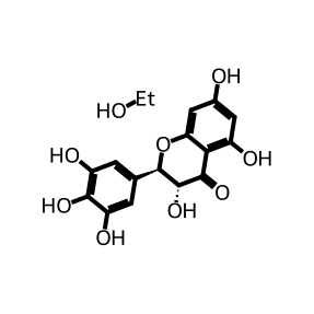 CCO.O=C1c2c(O)cc(O)cc2O[C@H](c2cc(O)c(O)c(O)c2)[C@H]1O